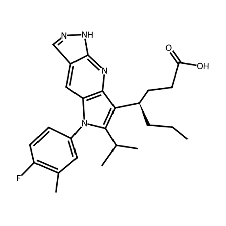 CCC[C@H](CCC(=O)O)c1c(C(C)C)n(-c2ccc(F)c(C)c2)c2cc3cn[nH]c3nc12